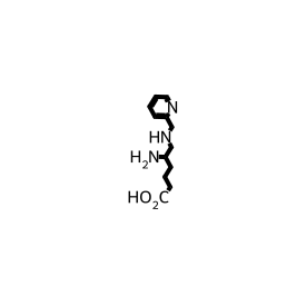 NC(CCCC(=O)O)CNCc1ccccn1